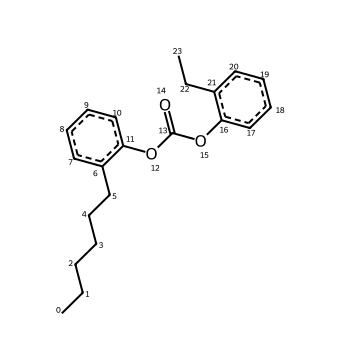 CCCCCCc1ccccc1OC(=O)Oc1ccccc1CC